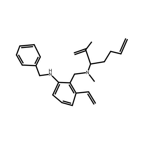 C=CCCC(C(=C)C)N(C)Cc1c(C=C)cccc1NCc1ccccc1